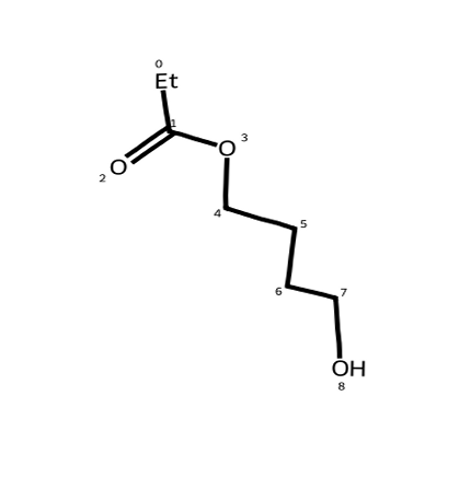 [CH2]CC(=O)OCCCCO